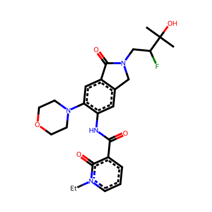 CCn1cccc(C(=O)Nc2cc3c(cc2N2CCOCC2)C(=O)N(CC(F)C(C)(C)O)C3)c1=O